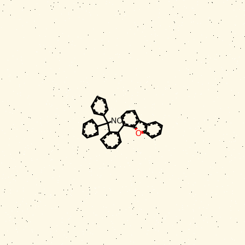 O=NC(c1ccccc1)(c1ccccc1)c1ccccc1-c1cccc2c1oc1ccccc12